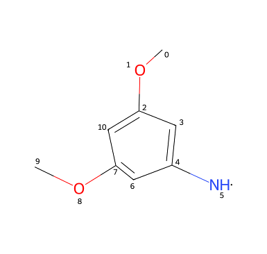 COc1cc([NH])cc(OC)c1